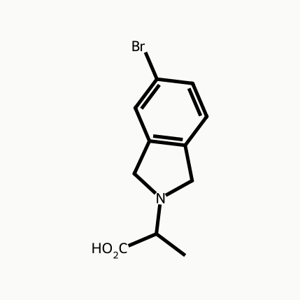 CC(C(=O)O)N1Cc2ccc(Br)cc2C1